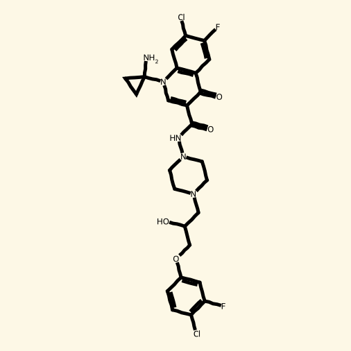 NC1(n2cc(C(=O)NN3CCN(CC(O)COc4ccc(Cl)c(F)c4)CC3)c(=O)c3cc(F)c(Cl)cc32)CC1